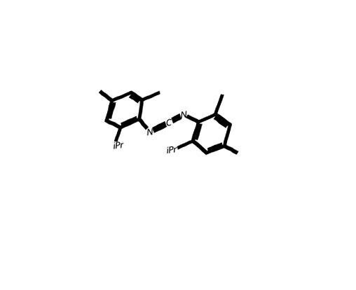 Cc1cc(C)c(N=C=Nc2c(C)cc(C)cc2C(C)C)c(C(C)C)c1